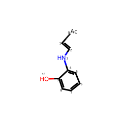 CC(=O)/C=C/Nc1ccccc1O